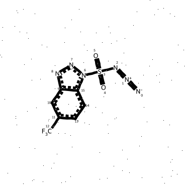 [N-]=[N+]=NS(=O)(=O)n1nnc2cc(C(F)(F)F)ccc21